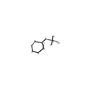 CC(C)([O])CC1CCCCC1